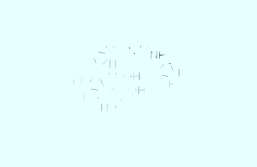 CS[C@H]1O[C@@H](c2cc(Cc3ccc(OC4CCN(C(=O)C[C@@H](N)Cc5cc(F)c(F)cc5F)CC4)cc3)c(Cl)cc2C)[C@H](O)[C@@H](O)[C@@H]1O